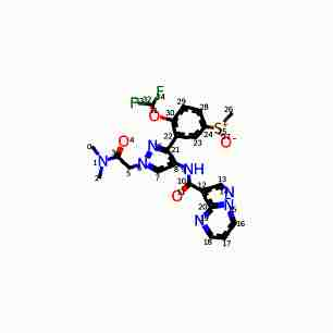 CN(C)C(=O)Cn1cc(NC(=O)c2cnn3cccnc23)c(-c2cc([S+](C)[O-])ccc2OC(F)F)n1